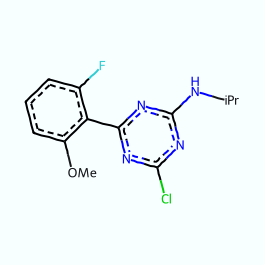 COc1cccc(F)c1-c1nc(Cl)nc(NC(C)C)n1